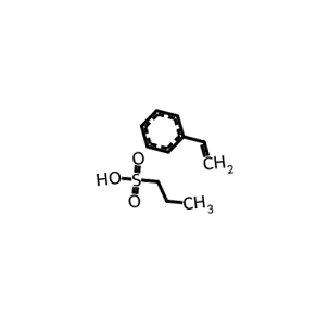 C=Cc1ccccc1.CCCS(=O)(=O)O